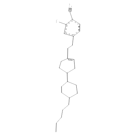 CCCCCC1CCC(C2CC=C(CCc3ccc(C#N)c(F)c3)CC2)CC1